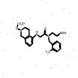 CCOC(=O)ON1CCc2c(cccc2NCC(=O)N(CCNC)Cc2ccccc2C(F)(F)F)C1